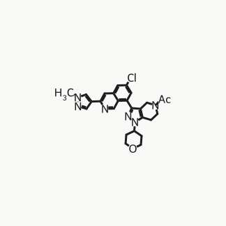 CC(=O)N1CCc2c(c(-c3cc(Cl)cc4cc(-c5cnn(C)c5)ncc34)nn2C2CCOCC2)C1